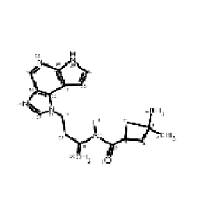 BC1(C)CC(C(=O)N(I)C(=C)CCn2cnc3cnc4[nH]ccc4c32)C1